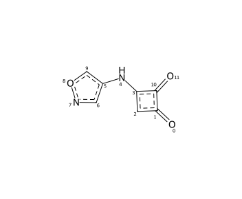 O=c1cc(Nc2cnoc2)c1=O